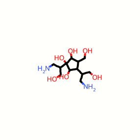 NCC(CO)C1C(CO)C(O)C(O)(C(CN)CO)C1O